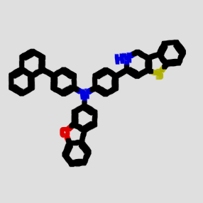 C1=C(c2ccc(N(c3ccc(-c4cccc5ccccc45)cc3)c3ccc4c(c3)oc3ccccc34)cc2)NCc2c1sc1ccccc21